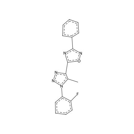 Cc1c(-c2nc(-c3ccccc3)no2)nnn1-c1ccccc1F